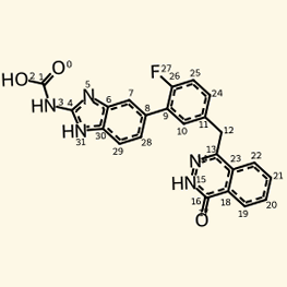 O=C(O)Nc1nc2cc(-c3cc(Cc4n[nH]c(=O)c5ccccc45)ccc3F)ccc2[nH]1